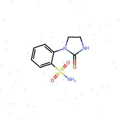 NS(=O)(=O)c1ccccc1N1CCNC1=O